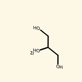 OCC(O)CO.[Zr]